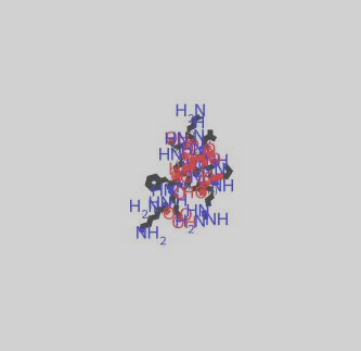 CC(C)C[C@H](NC(=O)[C@H](Cc1ccccc1)NC(=O)[C@H](CCC(=O)O)NC(=O)[C@@H](N)CCCCN)C(=O)N[C@@H](Cc1cnc[nH]1)C(=O)N1CCC[C@H]1C(=O)N[C@@H](CO)C(=O)N[C@@H](CCCCN)C(=O)N[C@H](C(=O)N[C@@H](CC(=O)O)C(=O)N[C@@H](CC(C)C)C(=O)N1CCC[C@H]1C(=O)N[C@@H](CCCNC(=N)N)C(=O)O)C(C)C